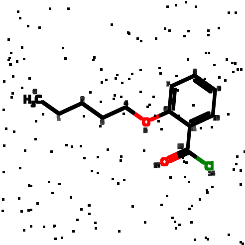 CCCCCOc1ccccc1C(=O)Cl